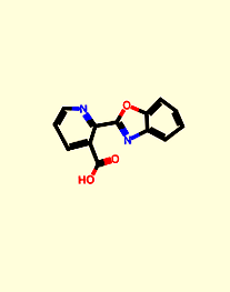 O=C(O)c1cccnc1-c1nc2ccccc2o1